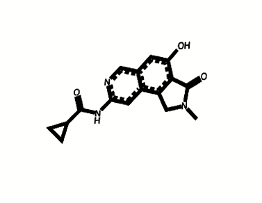 CN1Cc2c(c(O)cc3cnc(NC(=O)C4CC4)cc23)C1=O